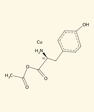 CC(=O)OC(=O)[C@@H](N)Cc1ccc(O)cc1.[Cu]